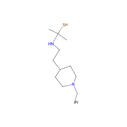 CC(C)CN1CCC(CCNC(C)(C)S)CC1